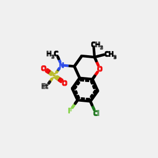 CCS(=O)(=O)N(C)C1CC(C)(C)Oc2cc(Cl)c(F)cc21